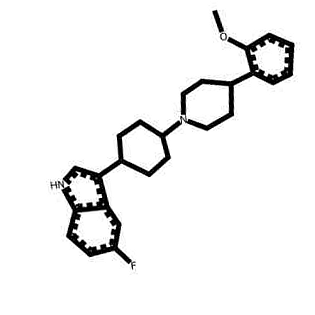 COc1ccccc1C1CCN(C2CCC(c3c[nH]c4ccc(F)cc34)CC2)CC1